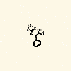 CC(C)(C)OC(=O)N[C@H](C(N)=O)c1ccccc1